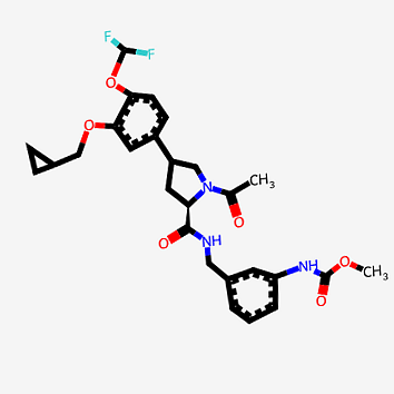 COC(=O)Nc1cccc(CNC(=O)[C@H]2CC(c3ccc(OC(F)F)c(OCC4CC4)c3)CN2C(C)=O)c1